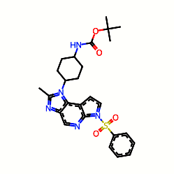 Cc1nc2cnc3c(ccn3S(=O)(=O)c3ccccc3)c2n1C1CCC(NC(=O)OC(C)(C)C)CC1